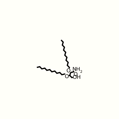 CCCCCCCCCCCCOC(CO)C(OCCCCCCCCCCCC)C(N)=O